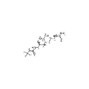 CC(C)(C)OC(=O)NCC(=O)N[C@@H](CCCNC(N)=O)C(=O)O